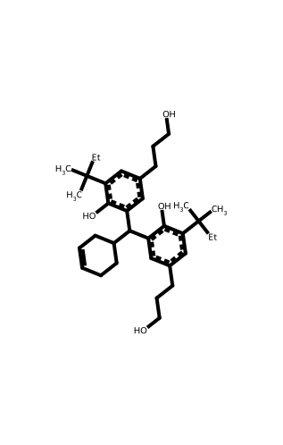 CCC(C)(C)c1cc(CCCO)cc(C(c2cc(CCCO)cc(C(C)(C)CC)c2O)C2CC=CCC2)c1O